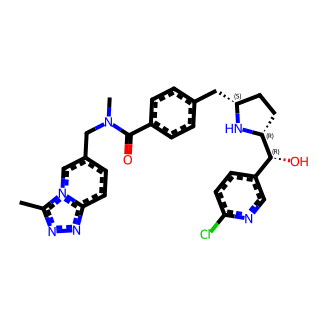 Cc1nnc2ccc(CN(C)C(=O)c3ccc(C[C@@H]4CC[C@H]([C@H](O)c5ccc(Cl)nc5)N4)cc3)cn12